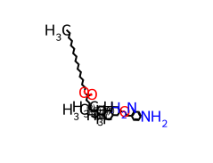 CCCCCCCCCCCCCCCCOC(=O)CC[C@@H](C)[C@H]1CC[C@H]2[C@@H]3CCC4CC(OCc5ccc(N)cc5N)CC[C@]4(C)[C@H]3CC[C@]12C